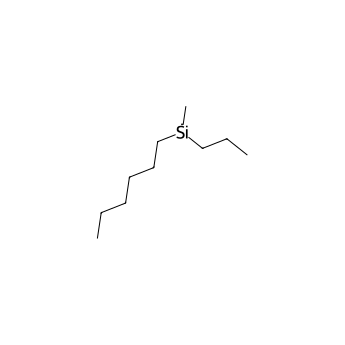 CCCCCC[Si](C)CCC